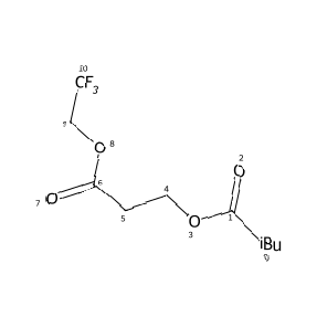 CCC(C)C(=O)OCCC(=O)OCC(F)(F)F